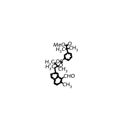 COC(=O)C(C)(C)c1cccc(B2OC(C)(C)C(C)(Cc3ccc4ccc(C)c(C=O)c4c3)O2)c1